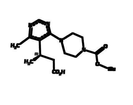 Cc1ncnc(N2CCN(C(=O)OC(C)(C)C)CC2)c1[C@H](C)CC(=O)O